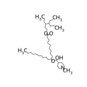 CCCCCCCCCCC(CCCCCCCCC(=O)OCCC(CCC)C(CCC)CCC)OC(O)C1CCN(C)CC1